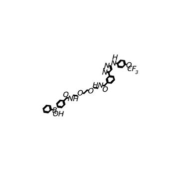 O=C(NCCOCCOCCNC(=O)c1cccc(-c2cc(Nc3ccc(OC(F)(F)F)cc3)ncn2)c1)c1ccc(B(O)c2ccccc2)cc1